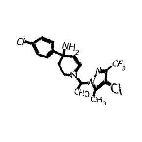 Cc1c(Cl)c(C(F)(F)F)nn1C(C=O)N1CCC(N)(c2ccc(Cl)cc2)CC1